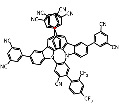 N#Cc1cc(C#N)cc(-c2ccc3c(c2)c2cc(-c4cc(C#N)cc(C#N)c4)ccc2n3-c2cc(C#N)c(-c3ccc(C(F)(F)F)cc3C(F)(F)F)cc2-n2c3ccc(-c4cc(C#N)cc(C#N)c4)cc3c3cc(-c4cc(C#N)cc(C#N)c4)ccc32)c1